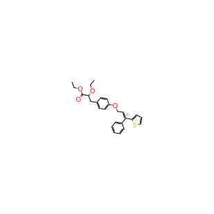 CCOC(=O)C(Cc1ccc(OC/C=C(\c2ccccc2)c2cccs2)cc1)OCC